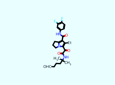 CCc1c(C(=O)Nc2ccc(F)c(F)c2)c2n(c1C(=O)C(=O)NC(C)(C)CCCC=O)CCC2